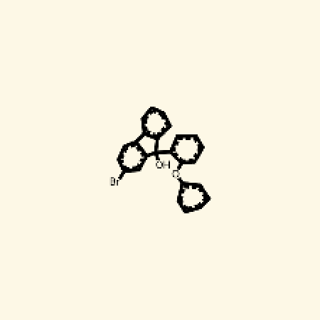 OC1(c2ccccc2Oc2ccccc2)c2ccccc2-c2ccc(Br)cc21